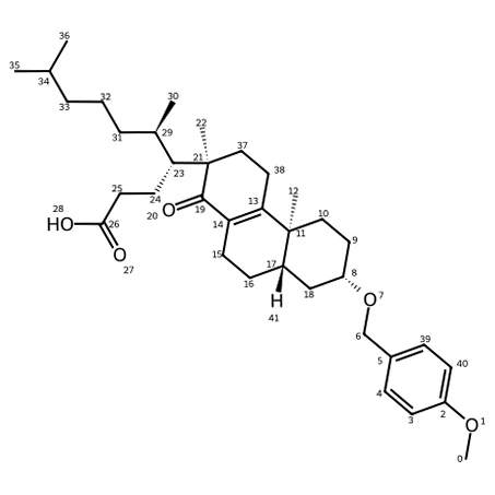 COc1ccc(CO[C@H]2CC[C@]3(C)C4=C(CC[C@H]3C2)C(=O)[C@@](C)([C@H](CCC(=O)O)[C@H](C)CCCC(C)C)CC4)cc1